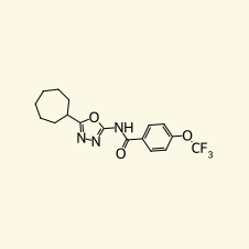 O=C(Nc1nnc(C2CCCCCC2)o1)c1ccc(OC(F)(F)F)cc1